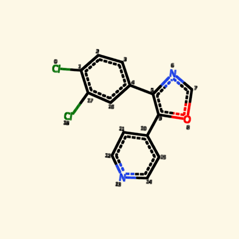 Clc1ccc(-c2ncoc2-c2ccncc2)cc1Cl